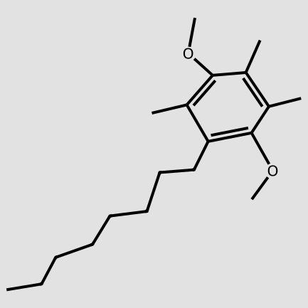 CCCCCCCCc1c(C)c(OC)c(C)c(C)c1OC